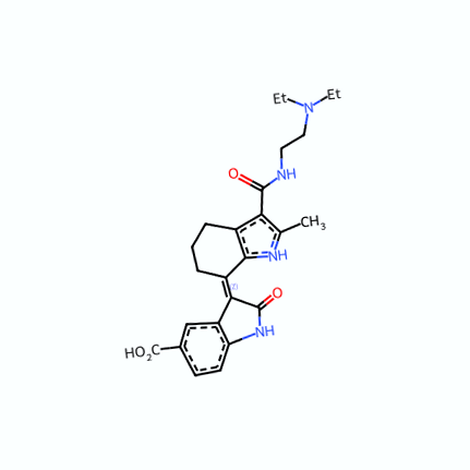 CCN(CC)CCNC(=O)c1c(C)[nH]c2c1CCC/C2=C1/C(=O)Nc2ccc(C(=O)O)cc21